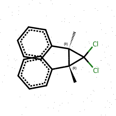 C[C@]1(c2ccccc2)C(Cl)(Cl)[C@]1(C)c1ccccc1